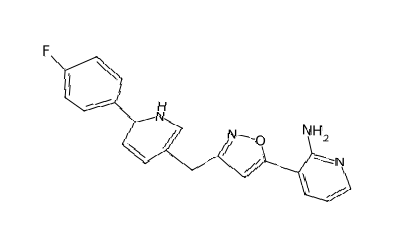 Nc1ncccc1-c1cc(CC2=CNC(c3ccc(F)cc3)C=C2)no1